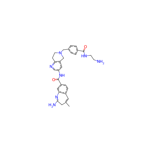 CC1=Cc2ccc(C(=O)Nc3cnc4c(c3)CN(Cc3ccc(C(=O)NCCN)cc3)CC4)cc2N=C(N)C1